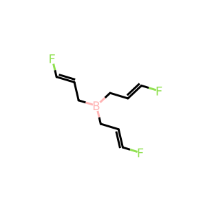 FC=CCB(CC=CF)CC=CF